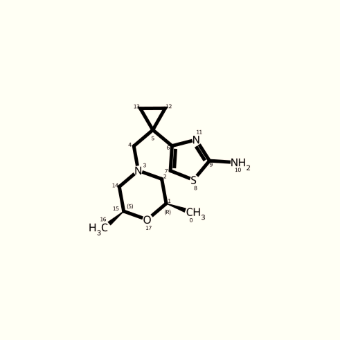 C[C@@H]1CN(CC2(c3csc(N)n3)CC2)C[C@H](C)O1